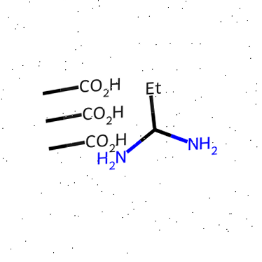 CC(=O)O.CC(=O)O.CC(=O)O.CCC(N)N